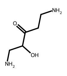 NCCC(=O)C(O)CN